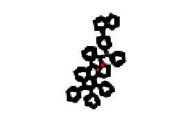 c1ccc(-c2c(-c3ccccc3)c(-c3ccccc3)c3c(-c4ccc(N(c5ccccc5)c5ccc(-c6cccc7ccccc67)cc5)c5ccccc45)cccc3c2-c2ccccc2)cc1